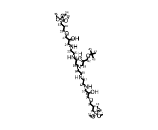 CO[Si](CCCOCC(O)CNCCNCCN(CCNCCNCC(O)COCCC[Si](OC)(OC)OC)CC(O)COC(C)(C)C)(OC)OC